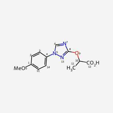 COc1ccc(-n2cnc(OC(C)C(=O)O)n2)cc1